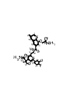 Cc1cnc2c(OCC(N)=O)cc(C(=O)NCCc3cc4c(c(-c5ccc(F)c(Cl)c5)n3)OC[C@]4(C)C(N)=O)cc2c1